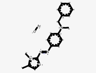 CC(=O)[O-].Cc1csc(/N=N/c2ccc(N(C)Cc3ccccc3)cc2)[n+]1C